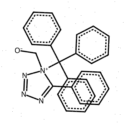 [O-]C[N+]1(C(c2ccccc2)(c2ccccc2)c2ccccc2)N=NN=C1c1ccccc1